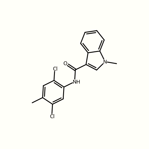 Cc1cc(Cl)c(NC(=O)c2cn(C)c3ccccc23)cc1Cl